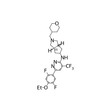 CCOc1cc(F)c(-c2cc(C(F)(F)F)c(NC3C[C@@H]4CN(CC5CCOCC5)C[C@@H]4C3)nn2)cc1F